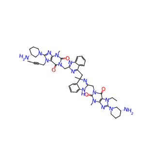 CC#CCn1c(N2CCC[C@@H](N)C2)nc2c1c(=O)n(Cc1nc(CC3(C)N=C(Cn4c(=O)c5c(nc(N6CCC[C@@H](N)C6)n5CC)n(C)c4=O)Nc4ccccc43)c3ccccc3n1)c(=O)n2C